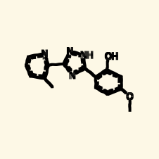 COc1ccc(-c2nc(-c3ncccc3C)n[nH]2)c(O)c1